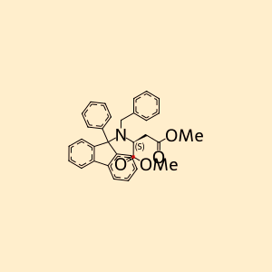 COC(=O)C[C@@H](C(=O)OC)N(Cc1ccccc1)C1(c2ccccc2)c2ccccc2-c2ccccc21